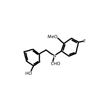 COc1cc(F)ccc1N(C=O)Cc1cccc(O)c1